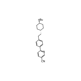 CCCC[C@H]1CC[C@H](CCc2ccc(-c3ccc(C#N)cn3)cc2)CC1